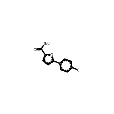 CC(C)(C)C(=O)c1ccc(-c2ccc(Cl)cc2)o1